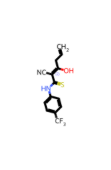 C=CC/C(O)=C(\C#N)C(=S)Nc1ccc(C(F)(F)F)cc1